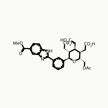 COC(=O)c1ccc2[nH]c(-c3cccc([C@@H]4O[C@@H](COC(C)=O)[C@H](CC(=O)O)[C@H](CC(=O)O)[C@H]4CC(=O)O)c3)nc2c1